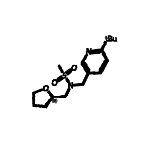 CC(C)(C)c1ccc(CN(C[C@H]2CCCO2)S(C)(=O)=O)cn1